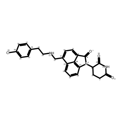 O=C1CCC(N2C(=O)c3ccc(CNCCc4ccc(Cl)cc4)c4cccc2c34)C(=O)N1